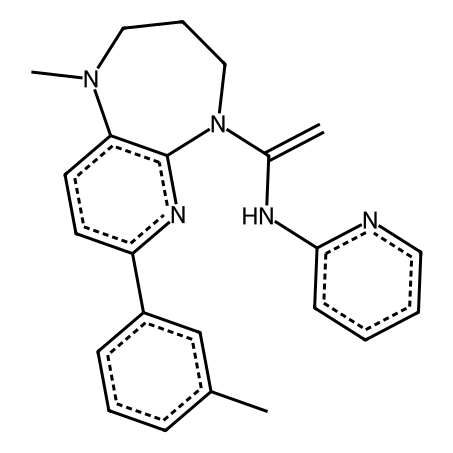 C=C(Nc1ccccn1)N1CCCN(C)c2ccc(-c3cccc(C)c3)nc21